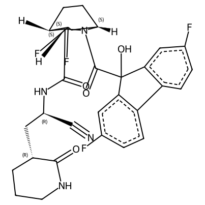 N#C[C@@H](C[C@H]1CCCNC1=O)NC(=O)[C@@H]1[C@@H]2CC[C@@H](CC2(F)F)N1C(=O)C1(O)c2cc(F)ccc2-c2ccc(F)cc21